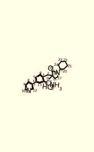 CC1(Cc2ccc(-c3cccnc3)cc2Cl)CCN(C2CCCCC2)C1=O.Cl.N